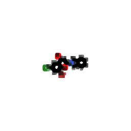 O=c1cc(N2Cc3ccccc3C2)oc2c(Br)cc(Cl)cc12